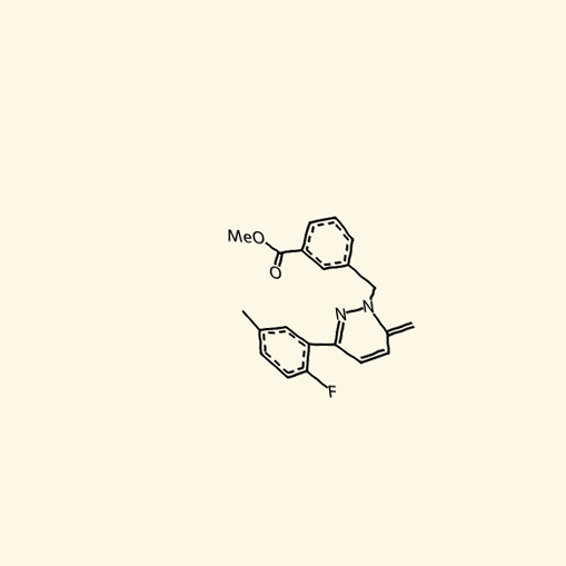 C=C1C=CC(c2cc(C)ccc2F)=NN1Cc1cccc(C(=O)OC)c1